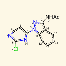 CC(=O)Nc1nn(-c2ccnc(Cl)n2)c2ccccc12